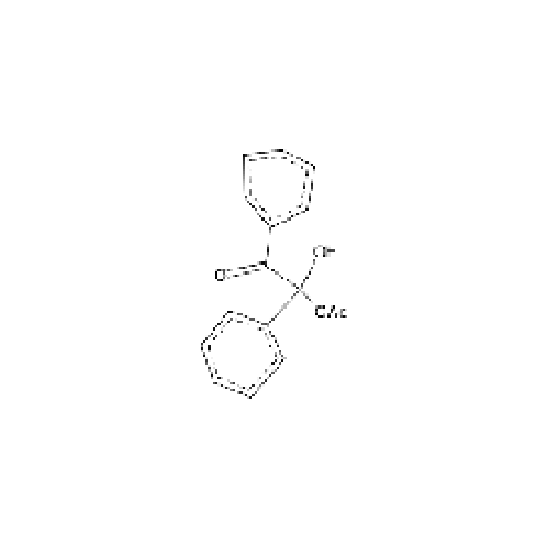 CC(=O)OC(O)(C(=O)c1ccccc1)c1ccccc1